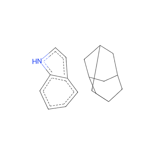 C1C2CC3CC1CC(C2)C3.c1ccc2[nH]ccc2c1